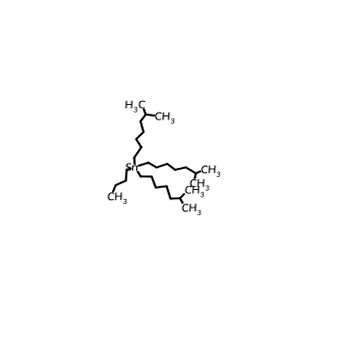 CCC[CH2][Sn]([CH2]CCCCC(C)C)([CH2]CCCCC(C)C)[CH2]CCCCC(C)C